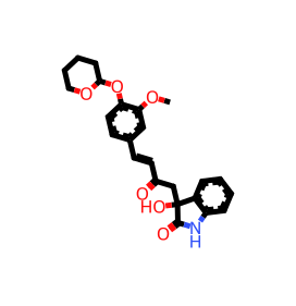 COc1cc(/C=C/C(=O)CC2(O)C(=O)Nc3ccccc32)ccc1OC1CCCCO1